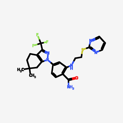 CC1(C)CCc2c(C(F)(F)F)nn(-c3ccc(C(N)=O)c(NCCSc4ncccn4)c3)c2C1